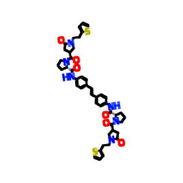 O=C(Nc1ccc(/C=C/c2ccc(NC(=O)[C@@H]3CCCN3C(=O)C3CC(=O)N(CCc4cccs4)C3)cc2)cc1)[C@@H]1CCCN1C(=O)C1CC(=O)N(CCc2cccs2)C1